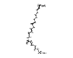 CCCCCC=CCC=CCC=CCC=CCCCC(=O)OCCCCCCCCCCCCCCC